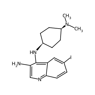 CN(C)[C@H]1CC[C@@H](Nc2c(N)cnc3ccc(I)cc23)CC1